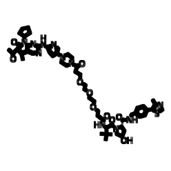 CC(=O)c1c(C)c2cnc(Nc3ccc(N4CCN(C(=O)CCOCCOCCOCCC(=O)NC(C(=O)N5C[C@H](O)C[C@H]5C(=O)NCc5ccc(-c6scnc6C)cc5)C(C)(C)C)CC4)cn3)nc2n(C2CCCC2)c1=O